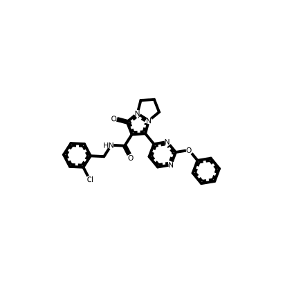 O=C(NCc1ccccc1Cl)c1c(-c2ccnc(Oc3ccccc3)n2)n2n(c1=O)CCC2